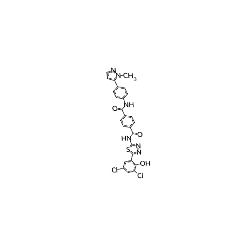 Cn1nccc1-c1ccc(NC(=O)c2ccc(C(=O)Nc3nnc(-c4cc(Cl)cc(Cl)c4O)s3)cc2)cc1